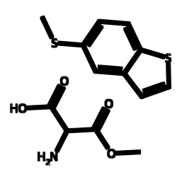 COC(=O)C(N)C(=O)O.CSc1ccc2sccc2c1